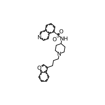 O=S(=O)(NC1CCN(CCCc2coc3ccccc23)CC1)c1cccc2cnccc12